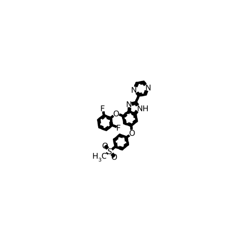 CS(=O)(=O)c1ccc(Oc2cc(Oc3c(F)cccc3F)c3nc(-c4cnccn4)[nH]c3c2)cc1